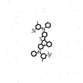 Cc1cc(N(c2ccccc2)c2ccc3c(c2)sc2c4ccc(N(c5ccccc5)c5cc(C)cc([Si](C)(C)C)c5)cc4c4ccccc4c32)cc([Si](C)(C)C)c1